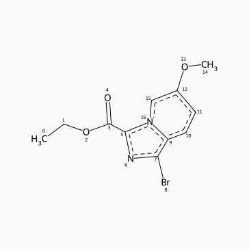 CCOC(=O)c1nc(Br)c2ccc(OC)cn12